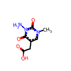 Cn1cc(CC(=O)O)c(=O)n(N)c1=O